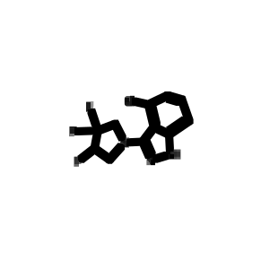 FC1CN(c2n[nH]c3cccc(Cl)c23)CC1(F)F